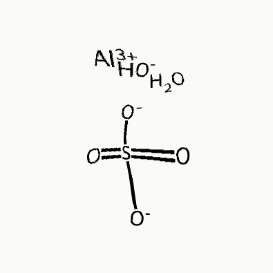 O.O=S(=O)([O-])[O-].[Al+3].[OH-]